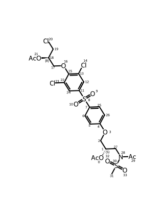 CC(=O)O[C@H](COc1ccc(S(=O)(=O)c2cc(Cl)c(OC[C@H](CCl)OC(C)=O)c(Cl)c2)cc1)CN(C(C)=O)S(C)(=O)=O